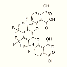 O=C(O)c1cccc(Oc2c(Oc3cccc(C(=O)O)c3C(=O)O)c(C(F)(F)F)c(C(F)(F)F)c(C(F)(F)F)c2C(F)(F)F)c1C(=O)O